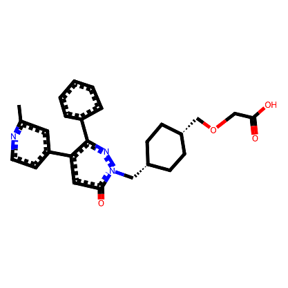 Cc1cc(-c2cc(=O)n(C[C@H]3CC[C@@H](COCC(=O)O)CC3)nc2-c2ccccc2)ccn1